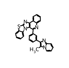 Cc1c(-c2cccc(-c3nc4ccccc4c4nc5sc6ccccc6n5c34)c2)nc2ccccn12